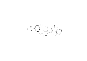 CCNS(=O)(=O)c1cccc(Nc2ncc3cc(-c4c(Cl)cccc4Cl)c(=O)n(OC)c3n2)c1